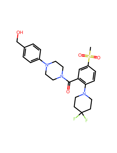 CS(=O)(=O)c1ccc(N2CCC(F)(F)CC2)c(C(=O)N2CCN(c3ccc(CO)cc3)CC2)c1